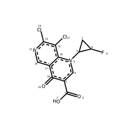 O=C(O)c1cn(C2CC2F)c2c(Cl)c(Cl)ncc2c1=O